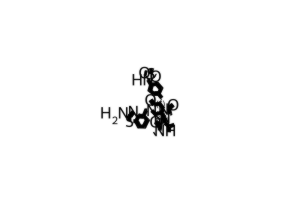 CNC(=O)N(C(C)C)N1CC(=O)N2[C@@H](Cc3ccc(NS(C)(=O)=O)cc3)C(=O)N(Cc3cccc4sc(N)nc34)C[C@@H]21